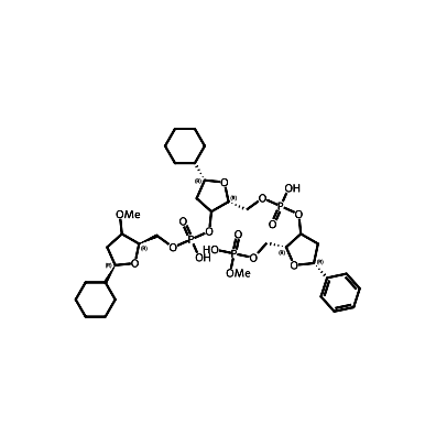 COC1C[C@H](C2CCCCC2)O[C@@H]1COP(=O)(O)OC1C[C@H](C2CCCCC2)O[C@@H]1COP(=O)(O)OC1C[C@H](c2ccccc2)O[C@@H]1COP(=O)(O)OC